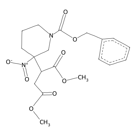 COC(=O)CC(C(=O)OC)C1([N+](=O)[O-])CCCN(C(=O)OCc2ccccc2)C1